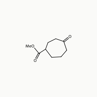 COC(=O)C1CCCC(=O)CC1